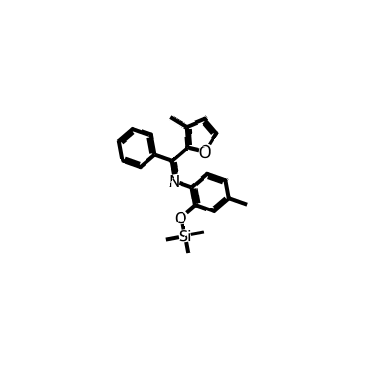 Cc1ccc(N=C(c2ccccc2)c2occc2C)c(O[Si](C)(C)C)c1